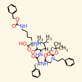 CC(C)C[C@@H](NC(=O)[C@@H](Cc1ccccc1)NC(=O)CN(CCc1ccccc1)C(=O)OC(C)(C)C)C(=O)N[C@H](CCCCNC(=O)OCc1ccccc1)C(=O)O